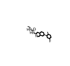 CCNC(=O)Nc1cc2ccc(-c3cc(F)ccc3C)cc2cn1